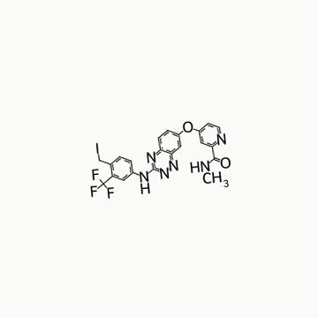 CNC(=O)c1cc(Oc2ccc3nc(Nc4ccc(CI)c(C(F)(F)F)c4)nnc3c2)ccn1